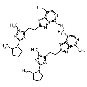 Cc1cnc(C)n2nc(CCc3nc(N4CCCC4C)nn3C)nc12.Cc1cnc(C)n2nc(CCc3nc(N4CCCC4C)nn3C)nc12